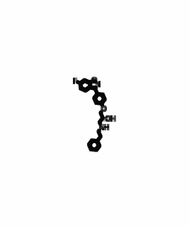 O[C@H](CNCCc1ccccc1)COc1ccc(-c2noc3cc(F)ccc23)cc1